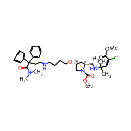 C=C(OC)/C(Cl)=C\C(C)(C)NC[C@@H]1C[C@@H](OCCCCNCCC(C(=O)N(C)C)(c2ccccc2)c2ccccc2)CN1C(=O)OC(C)(C)C